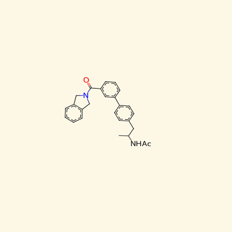 CC(=O)NC(C)Cc1ccc(-c2cccc(C(=O)N3Cc4ccccc4C3)c2)cc1